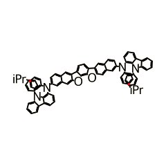 CC(C)c1ccc(N(c2ccc3cc4c(cc3c2)oc2c4ccc3c4cc5ccc(N(c6ccc(C(C)C)cc6)c6cccc7c8ccccc8n(-c8ccccc8)c67)cc5cc4oc32)c2cccc3c4ccccc4n(-c4ccccc4)c23)cc1